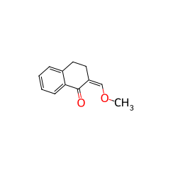 COC=C1CCc2ccccc2C1=O